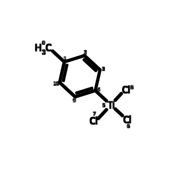 Cc1cc[c]([Ti]([Cl])([Cl])[Cl])cc1